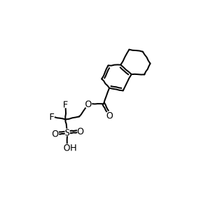 O=C(OCC(F)(F)S(=O)(=O)O)c1ccc2c(c1)CCCC2